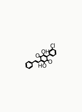 O=C1C(O)=C(c2cccc(Cl)c2)C(=O)C(O)=C1C=Cc1ccccc1